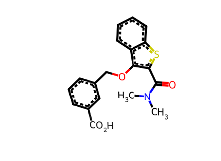 CN(C)C(=O)c1sc2ccccc2c1OCc1cccc(C(=O)O)c1